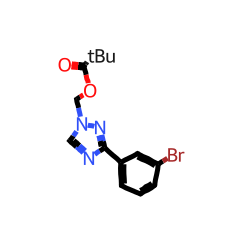 CC(C)(C)C(=O)OCn1cnc(-c2cccc(Br)c2)n1